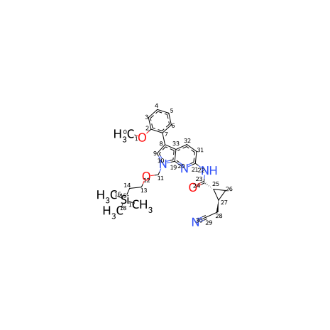 COc1ccccc1-c1cn(COCC[Si](C)(C)C)c2nc(NC(=O)[C@@H]3C[C@H]3CC#N)ccc12